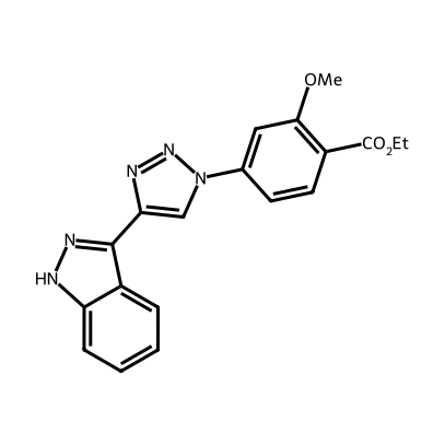 CCOC(=O)c1ccc(-n2cc(-c3n[nH]c4ccccc34)nn2)cc1OC